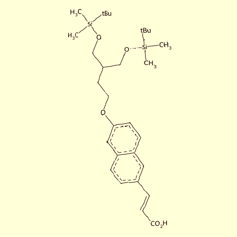 CC(C)(C)[Si](C)(C)OCC(CCOc1ccc2cc(/C=C/C(=O)O)ccc2c1)CO[Si](C)(C)C(C)(C)C